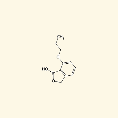 CCCOc1cccc2c1B(O)OC2